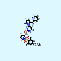 COc1cc(C)c(S(=O)(=O)N2CCC[C@@H]2COc2nccc(N3CCCC3Cc3ccccn3)n2)c(C)c1